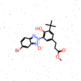 COC(=O)CCc1cc(-n2nc3ccc(Br)cc3[n+]2[O-])c(O)c(C(C)(C)C)c1